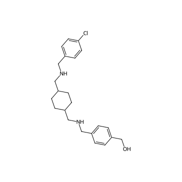 OCc1ccc(CNCC2CCC(CNCc3ccc(Cl)cc3)CC2)cc1